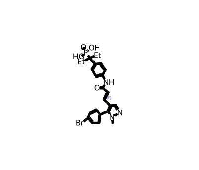 CCC(CC)(c1ccc(NC(=O)/C=C/c2cnn(C)c2-c2ccc(Br)cc2)cc1)P(=O)(O)O